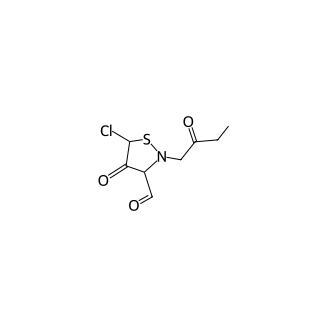 CCC(=O)CN1SC(Cl)C(=O)C1C=O